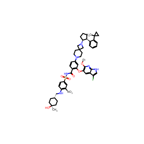 CCOc1nc2[nH]cc(F)c2cc1Oc1cc(N2CCC3(CC2)CN([C@H]2CCC[C@H]2c2ccccc2C2(C)CC2)C3)ccc1C(=O)NS(=O)(=O)c1ccc(NC[C@H]2CC[C@](C)(O)CC2)c([N+](=O)[O-])c1